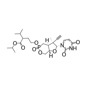 C#C[C@]1(C)[C@@H]2CP(=O)(OCCC(C(=O)OC(C)C)C(C)C)OC[C@H]2O[C@H]1n1ccc(=O)[nH]c1=O